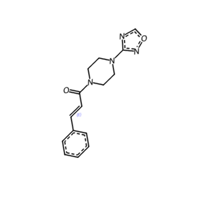 O=C(/C=C/c1ccccc1)N1CCN(c2ncon2)CC1